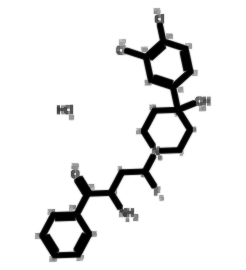 Cl.NC(CC(F)N1CCC(O)(c2ccc(Cl)c(Cl)c2)CC1)C(=O)c1ccccc1